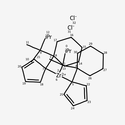 CC(C)C(C)(C)C1([C]2([Zr+2][C]3(C4(C(C)(C)C(C)C)CCCCC4)C=CC=C3)C=CC=C2)CCCCC1.[Cl-].[Cl-]